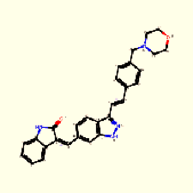 O=C1Nc2ccccc2/C1=C/c1ccc2c(/C=C/c3ccc(CN4CCOCC4)cc3)n[nH]c2c1